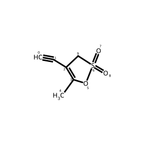 C#CC1=C(C)OS(=O)(=O)C1